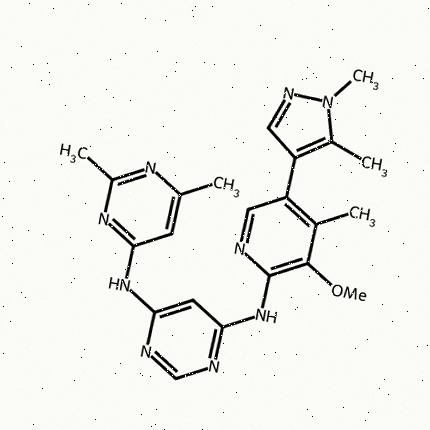 COc1c(Nc2cc(Nc3cc(C)nc(C)n3)ncn2)ncc(-c2cnn(C)c2C)c1C